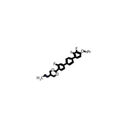 C/C=C/C1COC(c2ccc(-c3ccc(-c4ccc(OCCC)c(F)c4F)cc3)cc2F)OC1